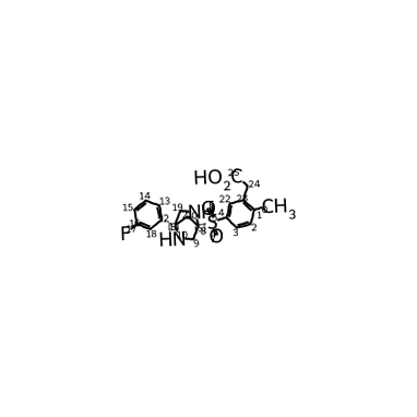 Cc1ccc(S(=O)(=O)[C@@]23CN[C@@](c4cccc(F)c4)(CN2)C3)cc1CC(=O)O